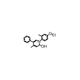 CCOc1ccc(N2C=C(c3ccccc3)C(C)=CC2O)c(C)c1